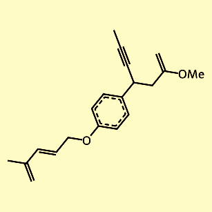 C=C(C)/C=C/COc1ccc(C(C#CC)CC(=C)OC)cc1